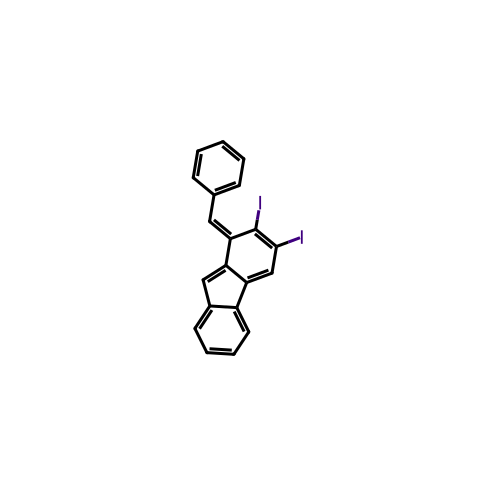 Ic1cc2c(c(=Cc3ccccc3)c1I)=Cc1ccccc1-2